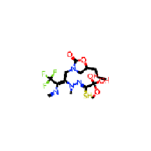 C=N/C(=C(/CN1CC(CCC)OC1=O)N(C)/N=C(\S)C(O)(O)OC)C(F)(F)F